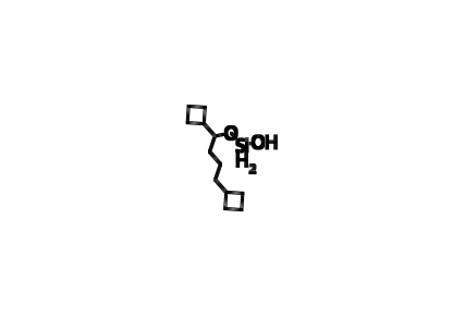 O[SiH2]OC(CCCC1CCC1)C1CCC1